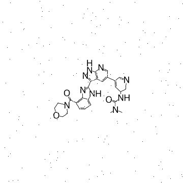 CN(C)C(=O)NC1C=C(c2cnc3[nH]nc(-c4nc5c(C(=O)N6CCOCC6)cccc5[nH]4)c3c2)C=NC1